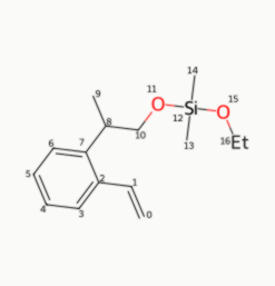 C=Cc1ccccc1C(C)CO[Si](C)(C)OCC